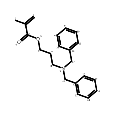 C=C(C)C(=O)OCCCN(Cc1ccccc1)Cc1ccccc1